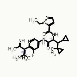 CCn1nccc1C(=O)N[C@H](C(=O)Nc1cnc(/C(C(C)=N)=C(\C)N)c(F)c1)C(C1CC1)C1(C)CC1